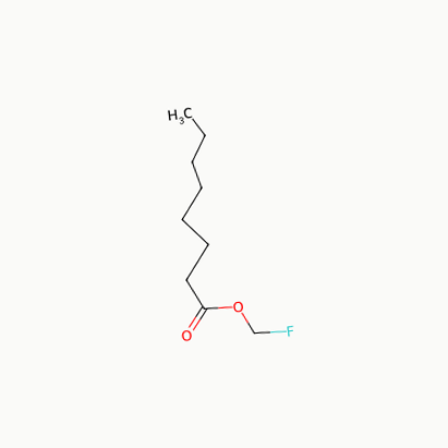 CCCCCCCC(=O)OCF